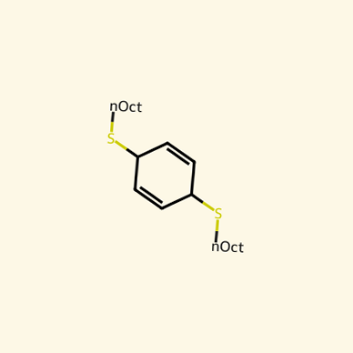 CCCCCCCCSC1C=CC(SCCCCCCCC)C=C1